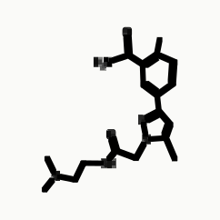 Cc1ccc(-c2cc(C)n(CC(=O)NCCN(C)C)n2)cc1C(N)=O